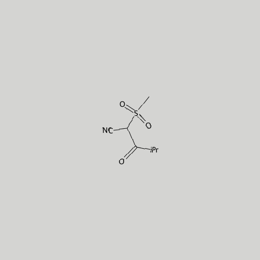 CC(C)C(=O)C(C#N)S(C)(=O)=O